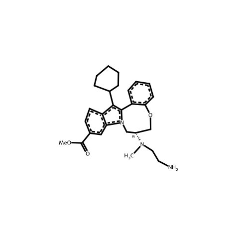 COC(=O)c1ccc2c(C3CCCCC3)c3n(c2c1)C[C@@H](N(C)CCN)COc1ccccc1-3